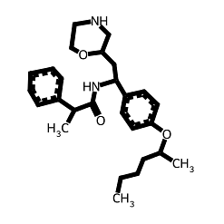 CCCCC(C)Oc1ccc(C(CC2CNCCO2)NC(=O)C(C)c2ccccc2)cc1